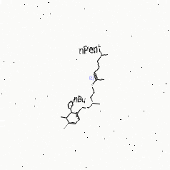 CCCCCC(C)CC/C=C(\C)CCCC(C)CCC1=CC=C(C)C(C)C1OCCCC